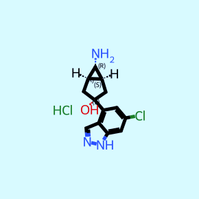 Cl.N[C@@H]1[C@H]2C[C@@](O)(c3cc(Cl)cc4[nH]ncc34)C[C@@H]12